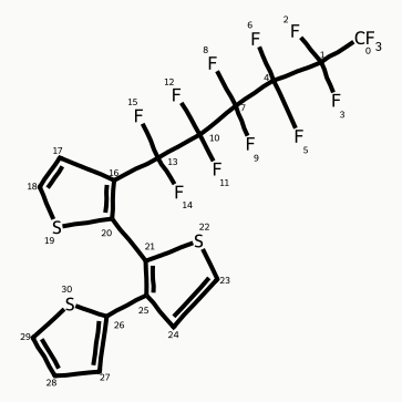 FC(F)(F)C(F)(F)C(F)(F)C(F)(F)C(F)(F)C(F)(F)c1ccsc1-c1sccc1-c1cccs1